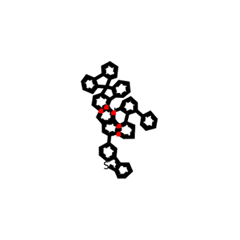 c1ccc(-c2ccccc2-c2c(-c3ccccc3)cccc2N(c2ccc(-c3ccc4sc5ccccc5c4c3)cc2)c2cccc3c2-c2ccccc2C32c3ccccc3-c3ccccc32)cc1